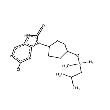 CC(C)C[Si](C)(C)OC1CCC(n2c(=O)[nH]c3cnc(Cl)nc32)CC1